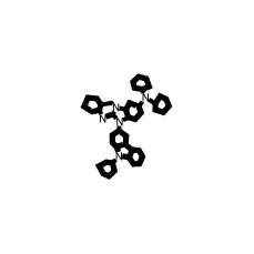 c1ccc(N(c2ccccc2)c2ccc3c(c2)N2Cc4ccccc4N=C2N3c2ccc3c(c2)c2ccccc2n3-c2ccccc2)cc1